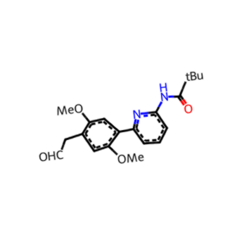 COc1cc(-c2cccc(NC(=O)C(C)(C)C)n2)c(OC)cc1CC=O